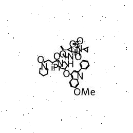 C=C[C@H]1C[C@]1(NC(=O)[C@@H]1C[C@@H](Oc2cc(-c3ccccc3)nc3cc(OC)ccc23)CN1C(=O)[C@@H](CC(=O)N1CCCCC1)C(C)C)C(=O)N(C1CC1)[SH](=O)=O